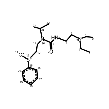 CCN(CC)CCNC(=O)N(CC[S+]([O-])c1ccccc1)C(C)C